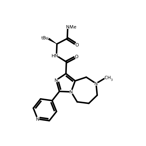 CNC(=O)[C@@H](NC(=O)c1nc(-c2ccncc2)n2c1CN(C)CCC2)C(C)(C)C